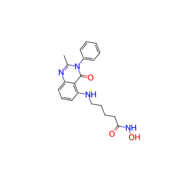 Cc1nc2cccc(NCCCCC(=O)NO)c2c(=O)n1-c1ccccc1